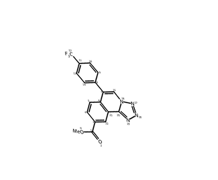 COC(=O)c1ccc2c(-c3ccc(C(F)(F)F)cc3)cn3nnnc3c2c1